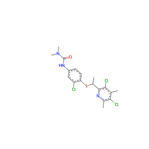 Cc1nc(C(C)Sc2ccc(NC(=O)N(C)C)cc2Cl)c(Cl)c(C)c1Cl